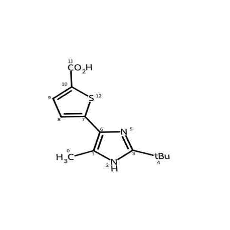 Cc1[nH]c(C(C)(C)C)nc1-c1ccc(C(=O)O)s1